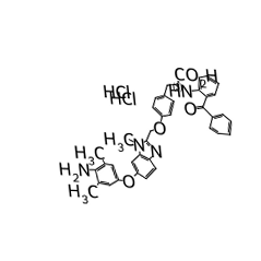 Cc1cc(Oc2ccc3nc(COc4ccc(C[C@H](Nc5ccccc5C(=O)c5ccccc5)C(=O)O)cc4)n(C)c3c2)cc(C)c1N.Cl.Cl